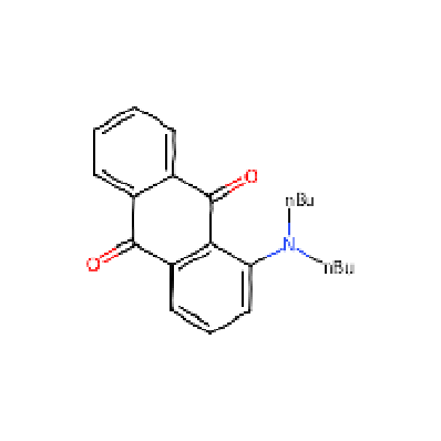 CCCCN(CCCC)c1cccc2c1C(=O)c1ccccc1C2=O